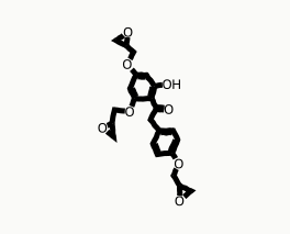 O=C(Cc1ccc(OCC2CO2)cc1)c1c(O)cc(OCC2CO2)cc1OCC1CO1